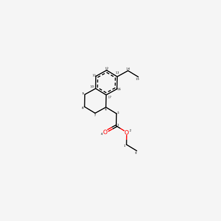 CCOC(=O)CC1CCCc2ccc(CC)cc21